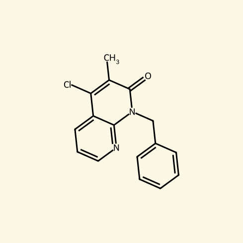 Cc1c(Cl)c2cccnc2n(Cc2ccccc2)c1=O